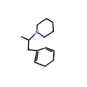 CC(CC1=CCCC=C1)N1CCCCC1